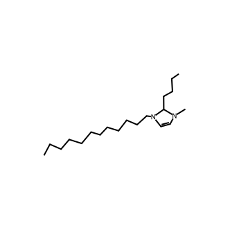 CCCCCCCCCCCCN1C=CN(C)C1CCCC